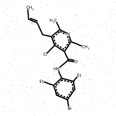 C/C=C/Cc1c(C)nc(C)c(C(=O)Nc2c(CC)cc(Br)cc2CC)c1Cl